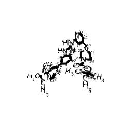 CC(C)N(C)c1cc(-c2ccc3nc(Nc4cc(CN5CCN(C(=O)OC(C)(C)C)CC5)ccn4)[nH]c3c2)ncn1